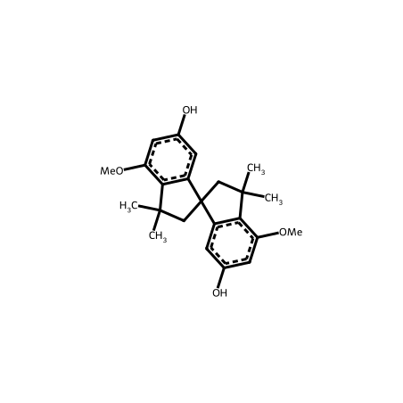 COc1cc(O)cc2c1C(C)(C)CC21CC(C)(C)c2c(OC)cc(O)cc21